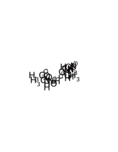 Cc1c(C(C)NC(=O)NC2CC3CCCC(C2)N3C)oc2cc(C3CCC(NC(=O)NC(C)c4oc5ccccc5c4C)C(O)C3)ccc12